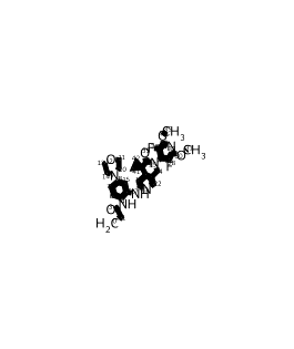 C=CC(=O)Nc1ccc(N2CCOCC2)cc1Nc1cc2c(cn1)CN(c1c(F)c(OC)nc(OC)c1F)C(=O)C21CC1